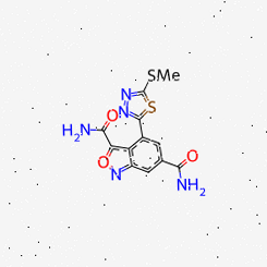 CSc1nnc(-c2cc(C(N)=O)cc3noc(C(N)=O)c23)s1